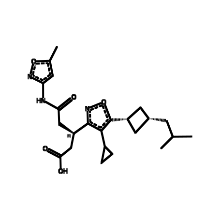 Cc1cc(NC(=O)C[C@H](CC(=O)O)c2noc([C@H]3C[C@@H](CC(C)C)C3)c2C2CC2)no1